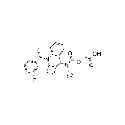 O=C(O)COC(=O)N(C1CC1)C1c2ccccc2N(C(=O)c2cccc(F)c2)C2CCC21